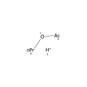 CCCOC(C)=O.[H+]